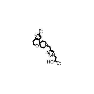 CCc1cc2c(s1)CCOC21CCN(Cc2cn(CC(O)CC)nn2)CC1